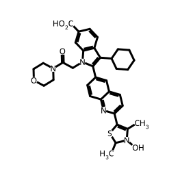 CC1=C(c2ccc3cc(-c4c(C5CCCCC5)c5ccc(C(=O)O)cc5n4CC(=O)N4CCOCC4)ccc3n2)SC(C)N1O